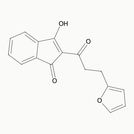 O=C(CCc1ccco1)C1=C(O)c2ccccc2C1=O